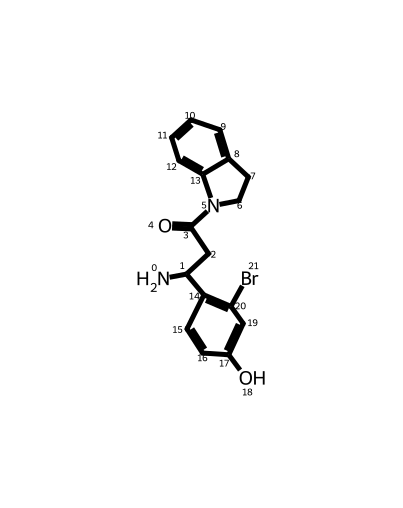 NC(CC(=O)N1CCc2ccccc21)c1ccc(O)cc1Br